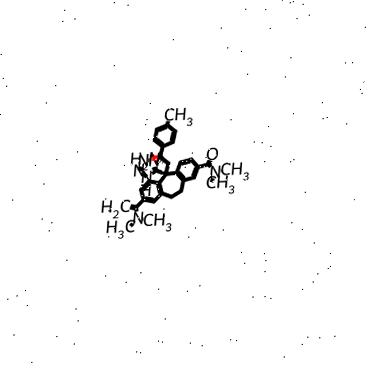 C=C(c1ccc2c(c1)CCc1cc(C(=O)N(C)C)ccc1C2(C[C@H](N)c1ccc(C)cc1)c1nnn[nH]1)N(C)C